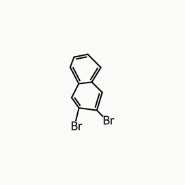 Brc1cc2ccccc2cc1Br